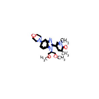 COCC(COC)n1c(-c2cc(C)c(=O)n(C)c2)nc2cc(N3CCOCC3)ccc21